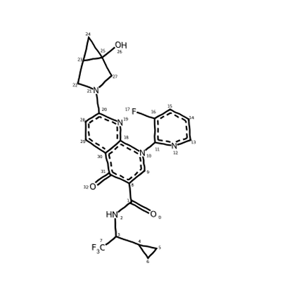 O=C(NC(C1CC1)C(F)(F)F)c1cn(-c2ncccc2F)c2nc(N3CC4CC4(O)C3)ccc2c1=O